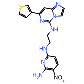 Nc1nc(NCCNc2nc(-c3ccsc3)cc3nccn23)ccc1[N+](=O)[O-]